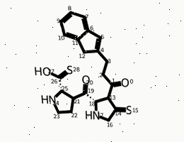 O=C(CCC1=Cc2ccccc2C1)C1C(=S)CN[C@@H]1C(=O)C1CCN[C@@H]1C(O)=S